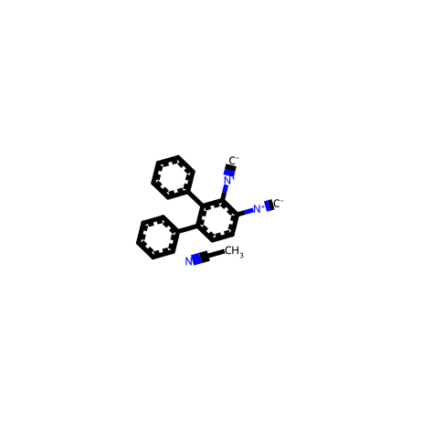 CC#N.[C-]#[N+]c1ccc(-c2ccccc2)c(-c2ccccc2)c1[N+]#[C-]